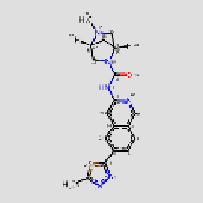 Cc1nnc(-c2ccc3cnc(NC(=O)N4C[C@H]5C[C@@H]4CN5C)cc3c2)s1